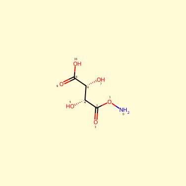 NOC(=O)[C@H](O)[C@@H](O)C(=O)O